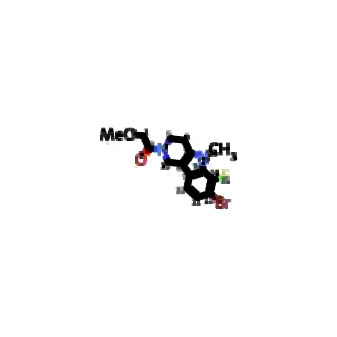 COCC(=O)N1CCc2c(c3ccc(Br)c(F)c3n2C)C1